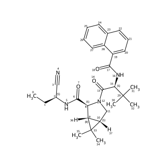 CC[C@@H](C#N)NC(=O)[C@@H]1[C@@H]2[C@H](CN1C(=O)[C@@H](NC(=O)c1cccc3ccccc13)C(C)(C)C)C2(C)C